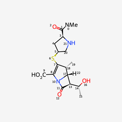 CNC(=O)[C@@H]1C[C@H](SC2=C(C(=O)O)N3C(=O)[C@H]([C@@H](C)O)[C@H]3[C@H]2C)CN1